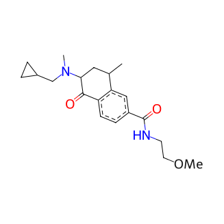 COCCNC(=O)c1ccc2c(c1)C(C)CC(N(C)CC1CC1)C2=O